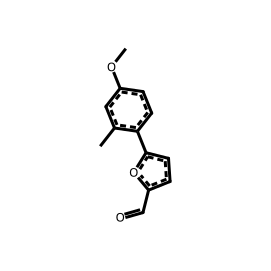 COc1ccc(-c2ccc(C=O)o2)c(C)c1